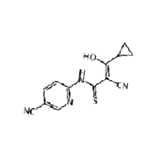 N#CC(C(=S)Nc1ccc(C#N)cn1)=C(O)C1CC1